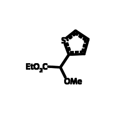 CCOC(=O)C(OC)c1cccs1